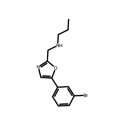 CCCNCc1ncc(-c2cccc(Br)c2)o1